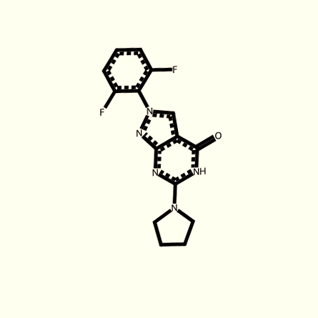 O=c1[nH]c(N2CCCC2)nc2nn(-c3c(F)cccc3F)cc12